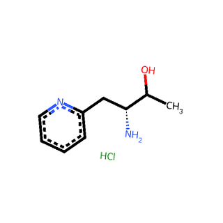 CC(O)[C@H](N)Cc1ccccn1.Cl